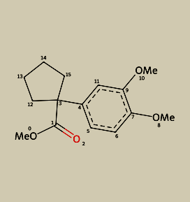 COC(=O)C1(c2ccc(OC)c(OC)c2)CCCC1